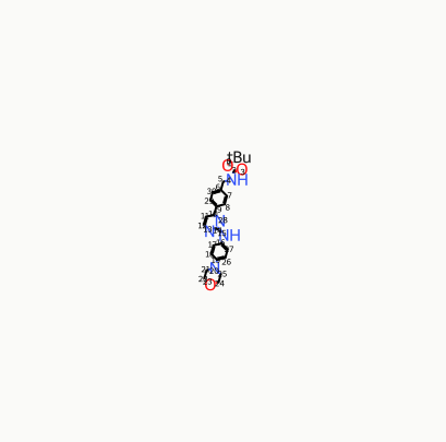 CC(C)(C)OC(=O)NCc1ccc(-c2ccnc(Nc3ccc(N4CCOCC4)cc3)n2)cc1